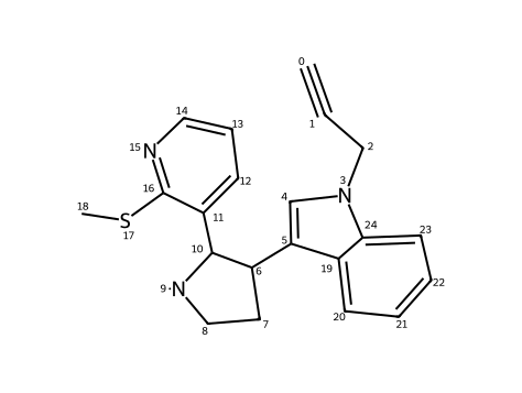 C#CCn1cc(C2CC[N]C2c2cccnc2SC)c2ccccc21